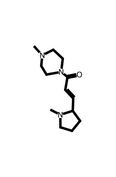 CN1CCN(C(=O)/C=C/C2CCCN2C)CC1